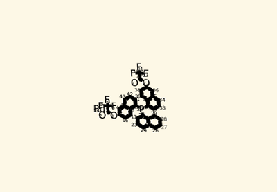 O=C([O-])C(F)(F)F.O=C([O-])C(F)(F)F.[Pd+2].c1ccc2c(P(c3cccc4ccccc34)c3cccc4ccccc34)cccc2c1